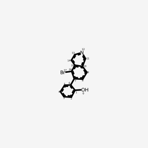 Oc1ccccc1-c1ccc2cnccc2c1Br